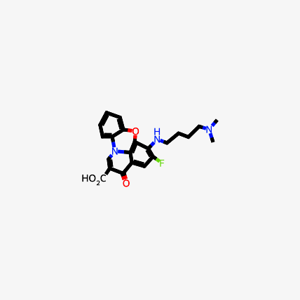 CN(C)CCCCNc1c(F)cc2c(=O)c(C(=O)O)cn3c2c1Oc1ccccc1-3